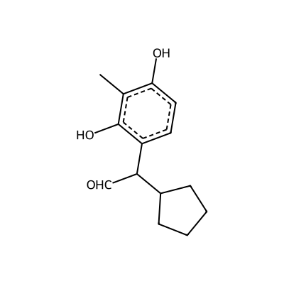 Cc1c(O)ccc(C(C=O)C2CCCC2)c1O